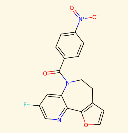 O=C(c1ccc([N+](=O)[O-])cc1)N1CCc2ccoc2-c2ncc(F)cc21